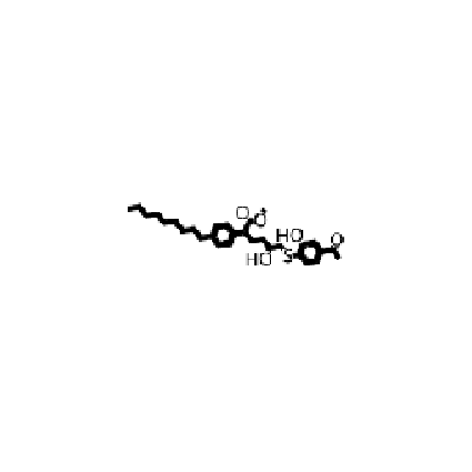 CCCCCCCCCc1ccc(C(CCC(O)CSc2ccc(C(C)=O)cc2O)C(=O)OC)cc1